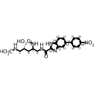 O=C(O)NCCCC(CNC(=O)c1nc2cc(-c3ccc([N+](=O)[O-])cc3)ccc2[nH]1)NC(=O)O